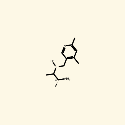 Cc1cc(C)c(C[S+]([O-])C(C)[C@@H](C)N)cn1